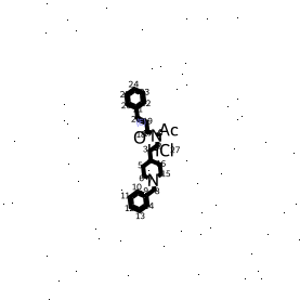 CC(=O)N(CCC1CCN(Cc2ccccc2)CC1)C(=O)/C=C/c1ccccc1.Cl